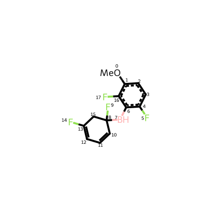 COc1ccc(F)c(BC2(F)C=CC=C(F)C2)c1F